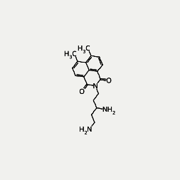 Cc1ccc2c3c(ccc(C)c13)C(=O)N(CCC(N)CCN)C2=O